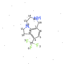 FC(F)(F)c1ccc2c3c1CCN3CCNC2